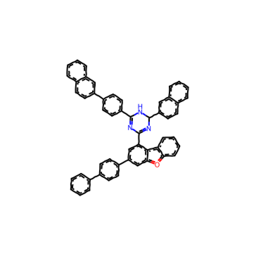 c1ccc(-c2ccc(-c3cc(C4=NC(c5ccc6ccccc6c5)NC(c5ccc(-c6ccc7ccccc7c6)cc5)=N4)c4c(c3)oc3ccccc34)cc2)cc1